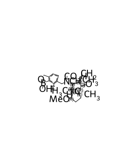 C=C[C@]1(C)C[C@@H](N(Cc2ccc3c(c2F)B(O)OC3)C(=O)O)[C@]2(C)[C@H](C)CC[C@]3(CC[C@@H](OC)[C@H]32)[C@@H](C)C1=O